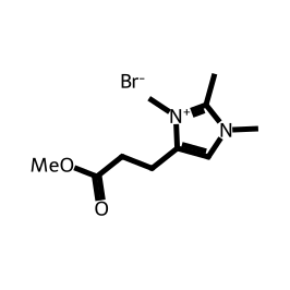 COC(=O)CCc1cn(C)c(C)[n+]1C.[Br-]